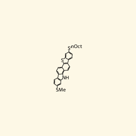 CCCCCCCCSc1ccc2c(c1)sc1c2ccc2c1ccc1c3ccc(SC)cc3[nH]c12